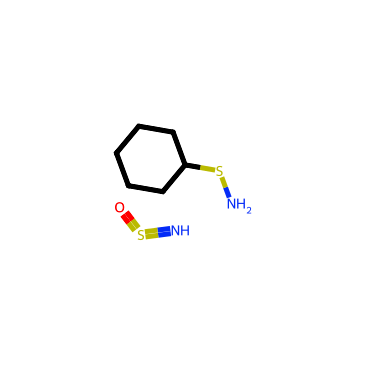 N=S=O.NSC1CCCCC1